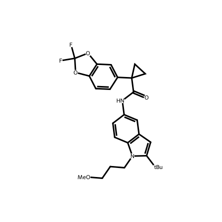 COCCCn1c(C(C)(C)C)cc2cc(NC(=O)C3(c4ccc5c(c4)OC(F)(F)O5)CC3)ccc21